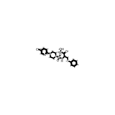 O=C(NO)C(CSc1ccccc1)NS(=O)(=O)N1CCN(c2ccc(Cl)cn2)CC1